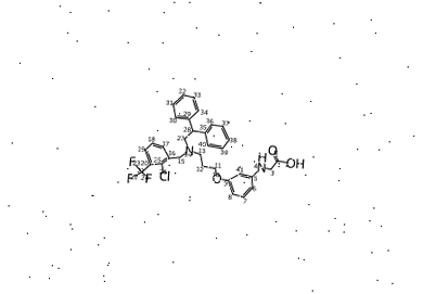 O=C(O)CNc1cccc(OCCCN(Cc2cccc(C(F)(F)F)c2Cl)CC(c2ccccc2)c2ccccc2)c1